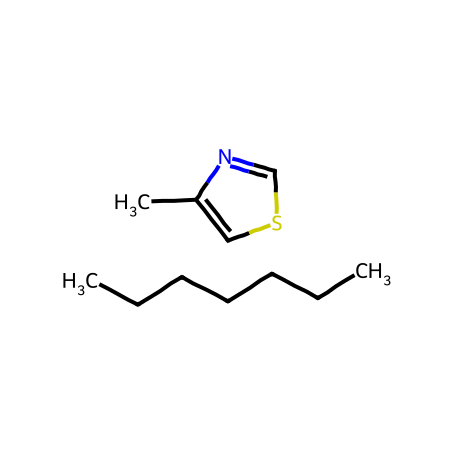 CCCCCCC.Cc1cscn1